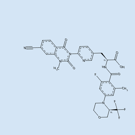 Cc1cc(N2CCOC[C@@H]2C(F)(F)F)cc(F)c1C(=O)N[C@@H](Cc1ccc(-n2c(=O)c3ccc(C#N)cc3n(C)c2=O)nc1)C(=O)O